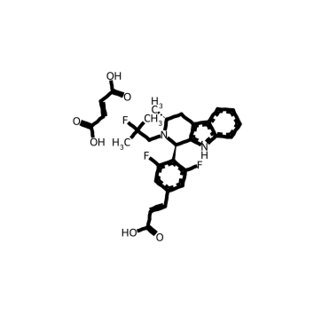 C[C@@H]1Cc2c([nH]c3ccccc23)[C@@H](c2c(F)cc(C=CC(=O)O)cc2F)N1CC(C)(C)F.O=C(O)C=CC(=O)O